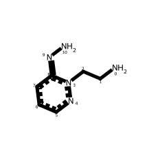 NCCn1ncccc1=NN